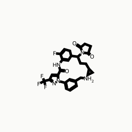 NCc1cccc(-n2nc(C(F)(F)F)cc2C(=O)NC2=CC(C(CCC3CC3)N3C(=O)CCC3=O)CC=C2F)c1